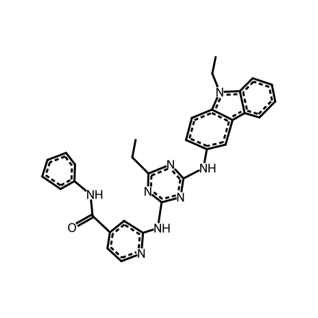 CCc1nc(Nc2ccc3c(c2)c2ccccc2n3CC)nc(Nc2cc(C(=O)Nc3ccccc3)ccn2)n1